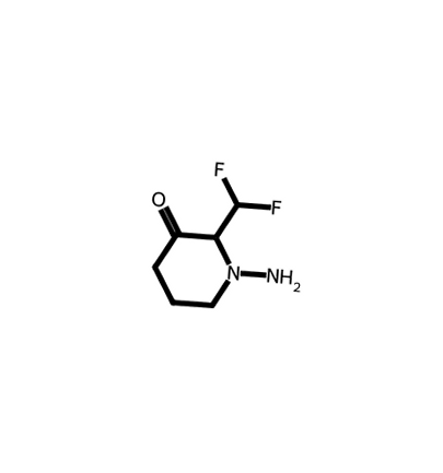 NN1CCCC(=O)C1C(F)F